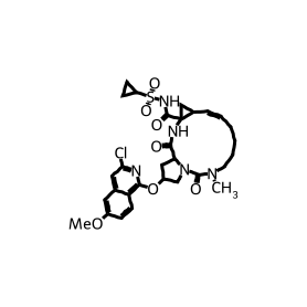 COc1ccc2c(OC3CC4C(=O)NC5(C(=O)NS(=O)(=O)C6CC6)CC5/C=C\CCCCN(C)C(=O)N4C3)nc(Cl)cc2c1